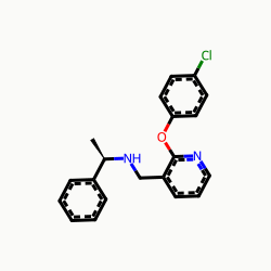 C[C@@H](NCc1cccnc1Oc1ccc(Cl)cc1)c1ccccc1